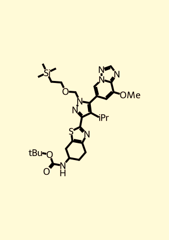 COc1cc(-c2c(C(C)C)c(-c3nc4c(s3)CC(NC(=O)OC(C)(C)C)CC4)nn2COCC[Si](C)(C)C)cn2ncnc12